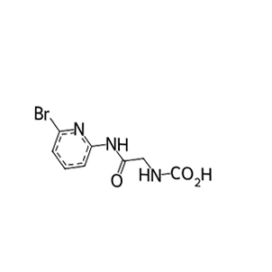 O=C(O)NCC(=O)Nc1cccc(Br)n1